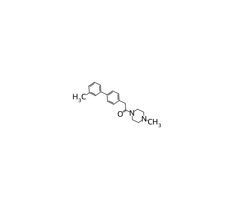 Cc1cccc(-c2ccc(CC(=O)N3CCN(C)CC3)cc2)c1